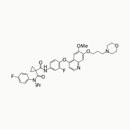 COc1cc2c(Oc3ccc(NC(=O)C4(C(=O)N(c5ccc(F)cc5)C(C)C)CC4)cc3F)ccnc2cc1OCCCN1CCOCC1